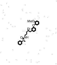 CCN(CCCNC(=O)N(C)c1ccccc1)Cc1cccc(Oc2ccccc2OC)c1